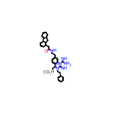 N=C(N)NC(=N)N(CCc1ccccc1)C(CC(=O)O)c1ccc(CCNC(=O)Cc2cccc3c2Cc2ccccc2-3)cc1